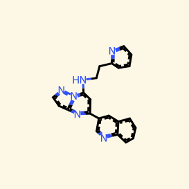 c1ccc(CCNc2cc(-c3cnc4ccccc4c3)nc3ccnn23)nc1